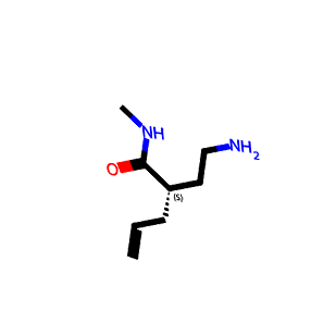 C=CC[C@@H](CCN)C(=O)NC